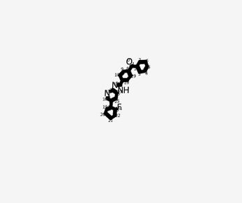 O=C(c1ccccc1)c1ccc(-c2nc3ncc(-c4ccccc4F)cc3[nH]2)cc1